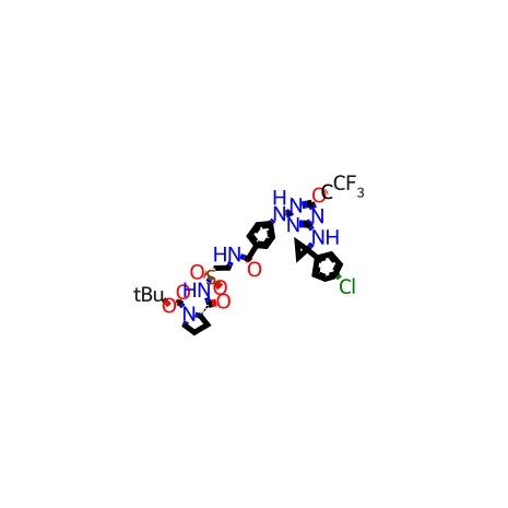 CC(C)(C)OC(=O)N1CCC[C@H]1C(=O)NS(=O)(=O)CCNC(=O)c1ccc(Nc2nc(NC3(c4ccc(Cl)cc4)CC3)nc(OCC(F)(F)F)n2)cc1